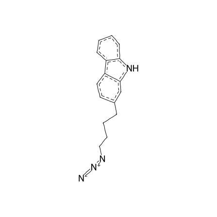 [N-]=[N+]=NCCCCc1ccc2c(c1)[nH]c1ccccc12